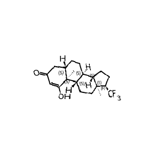 C[C@]12CC[C@H]3[C@@H](CC[C@H]4CC(=O)C=C(O)[C@@]43C)[C@@H]1CC[C@H]2C(F)(F)F